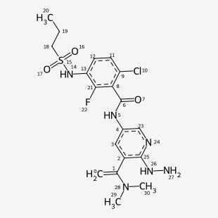 C=C(c1cc(NC(=O)c2c(Cl)ccc(NS(=O)(=O)CCC)c2F)cnc1NN)N(C)C